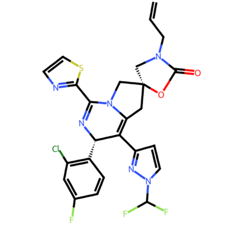 C=CCN1C[C@@]2(CC3=C(c4ccn(C(F)F)n4)[C@H](c4ccc(F)cc4Cl)N=C(c4nccs4)N3C2)OC1=O